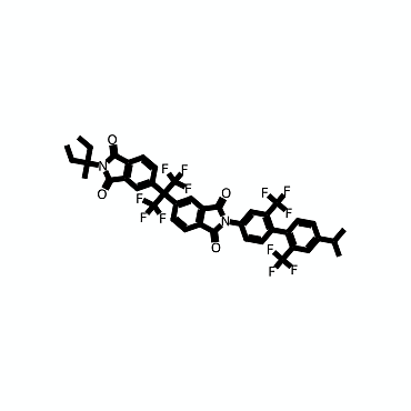 CCC(C)(CC)N1C(=O)c2ccc(C(c3ccc4c(c3)C(=O)N(c3ccc(-c5ccc(C(C)C)cc5C(F)(F)F)c(C(F)(F)F)c3)C4=O)(C(F)(F)F)C(F)(F)F)cc2C1=O